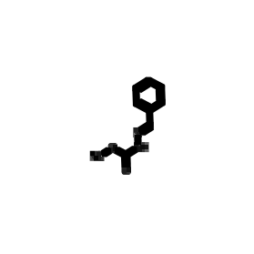 N#COC(=O)NN=Cc1ccccc1